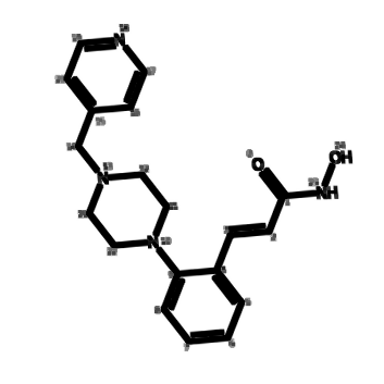 O=C(C=Cc1ccccc1N1CCN(Cc2ccncc2)CC1)NO